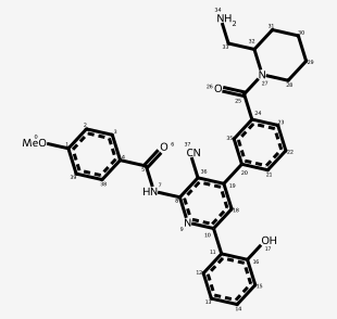 COc1ccc(C(=O)Nc2nc(-c3ccccc3O)cc(-c3cccc(C(=O)N4CCCCC4CN)c3)c2C#N)cc1